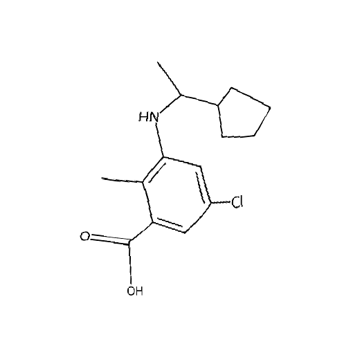 Cc1c(NC(C)C2CCCC2)cc(Cl)cc1C(=O)O